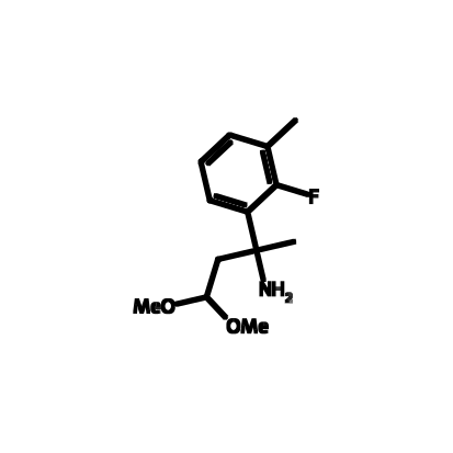 COC(CC(C)(N)c1cccc(C)c1F)OC